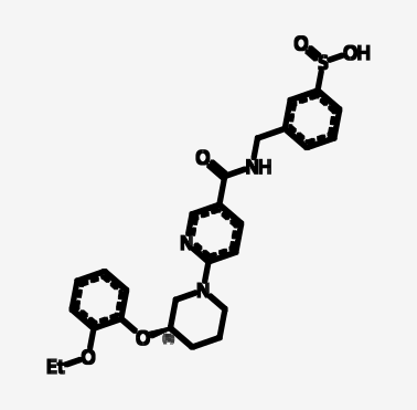 CCOc1ccccc1O[C@@H]1CCCN(c2ccc(C(=O)NCc3cccc(S(=O)O)c3)cn2)C1